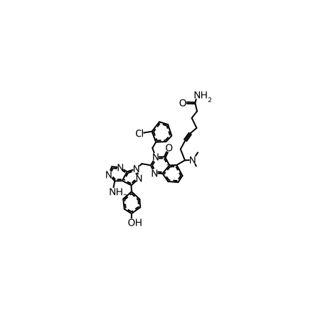 CN(C)C(CC#CCCCC(N)=O)c1cccc2nc(Cn3nc(-c4ccc(O)cc4)c4c(N)ncnc43)n(Cc3ccccc3Cl)c(=O)c12